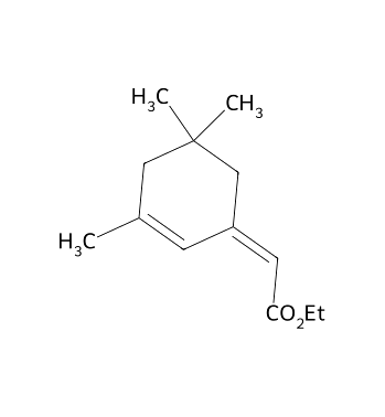 CCOC(=O)/C=C1\C=C(C)CC(C)(C)C1